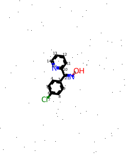 O/N=C(/c1ccc(Cl)cc1)c1ccccn1